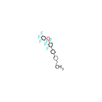 CCCC1CC=C(c2ccc(-c3ccc(C(F)(F)Oc4cc(F)c(F)c(F)c4)c(F)c3F)cc2)CC1